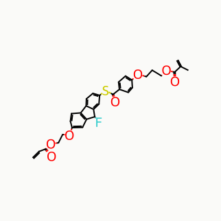 C=CC(=O)OCCOc1ccc2c(c1)C(F)c1cc(SC(=O)c3ccc(OCCCOC(=O)C(=C)C)cc3)ccc1-2